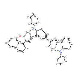 c1ccc(-n2c3ccccc3c3cc(-c4ccc5c(c4)c4cc6c(cc4n5-c4ccccc4)Oc4cccc5cccc-6c45)ccc32)cc1